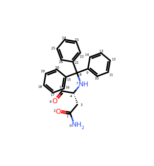 NC(=O)C[C@H](C=O)NC(c1ccccc1)(c1ccccc1)c1ccccc1